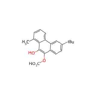 Cc1cccc2c1c(O)c(OC(=O)O)c1ccc(C(C)(C)C)cc12